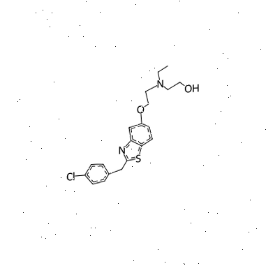 CCN(CCO)CCOc1ccc2sc(Cc3ccc(Cl)cc3)nc2c1